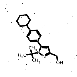 CC(C)(C)n1nc(CO)cc1-c1ccc(C2CCCCC2)cc1